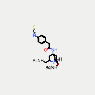 CC(=O)NCC1C[C@]2(NC(=O)Cc3ccc(N=C=S)cc3)C[C@@H](CNC(C)=O)N1[C@@H](CNC(C)=O)C2